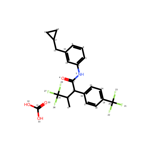 CC(C(C(=O)Nc1cccc(CC2CC2)c1)c1ccc(C(F)(F)F)cc1)C(F)(F)F.O=C(O)O